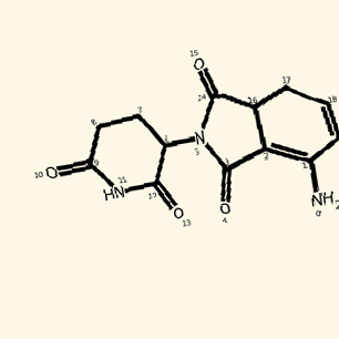 NC1=C2C(=O)N(C3CCC(=O)NC3=O)C(=O)C2CC=C1